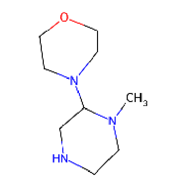 CN1CCNCC1N1CCOCC1